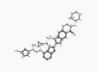 C[C@H](COc1cccc2cc(-c3nc4cc5c(cc4n3C)CCN(C[C@H]3COCCN3)C5=O)n(CC3CC3)c12)n1cnc(F)c1